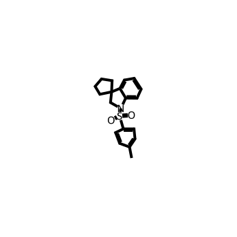 Cc1ccc(S(=O)(=O)N2CC3(CCCC3)c3ccccc32)cc1